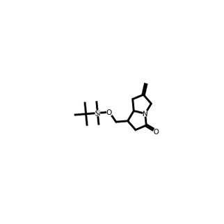 C=C1CC2C(CO[Si](C)(C)C(C)(C)C)CC(=O)N2C1